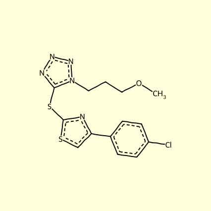 COCCCn1nnnc1Sc1nc(-c2ccc(Cl)cc2)cs1